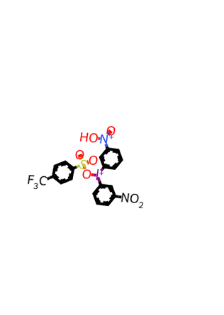 O=[N+]([O-])c1cccc([I+](OS(=O)(=O)c2ccc(C(F)(F)F)cc2)c2cccc([N+](=O)O)c2)c1